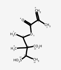 C=C(C)C(=O)OC(C)C(C)(C(=O)O)C(C)S(=O)(=O)O